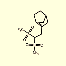 O=S(=O)(C(CC1=C2CCC(C2)C1)S(=O)(=O)C(F)(F)F)C(F)(F)F